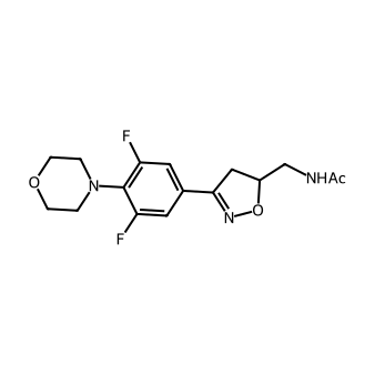 CC(=O)NCC1CC(c2cc(F)c(N3CCOCC3)c(F)c2)=NO1